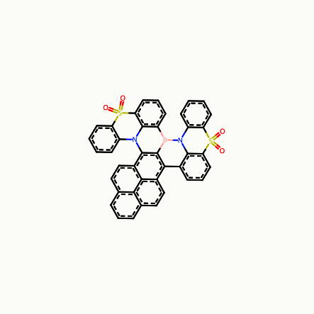 O=S1(=O)c2ccccc2N2B3c4cccc5c4N(c4ccccc4S5(=O)=O)c4c3c(c3ccc5cccc6ccc4c3c56)-c3cccc1c32